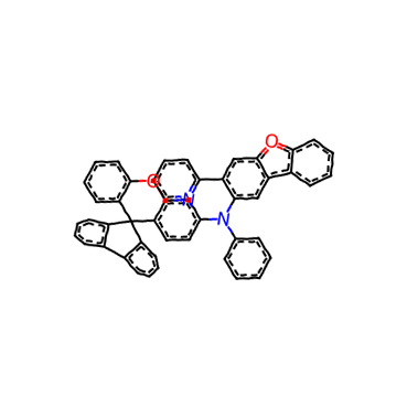 c1ccc(N(c2ccc3c(c2)Oc2ccccc2C32c3ccccc3-c3ccccc32)c2cc3c(cc2-c2ccccn2)oc2ccccc23)cc1